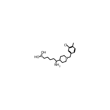 Cc1ccc(CN2CCC(C(N)CCCCB(O)O)CC2)cc1Cl